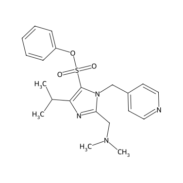 CC(C)c1nc(CN(C)C)n(Cc2ccncc2)c1S(=O)(=O)Oc1ccccc1